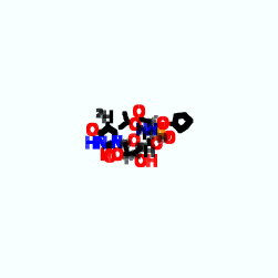 [2H]c1cn([C@@H]2O[C@H](C([2H])([2H])O[P@](=O)(N[C@@H](C)C(=O)OC(C)C)Oc3ccccc3)[C@@H](O)[C@@]2(C)O)c(=O)[nH]c1=O